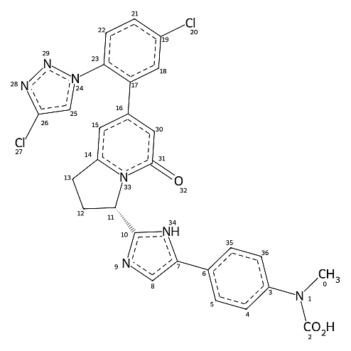 CN(C(=O)O)c1ccc(-c2cnc([C@@H]3CCc4cc(-c5cc(Cl)ccc5-n5cc(Cl)nn5)cc(=O)n43)[nH]2)cc1